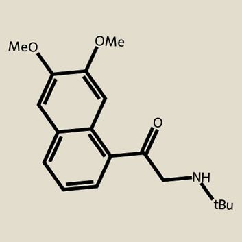 COc1cc2cccc(C(=O)CNC(C)(C)C)c2cc1OC